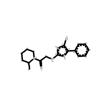 CC1CCCCN1C(=O)COc1nc(Cl)c(-c2ccccc2)s1